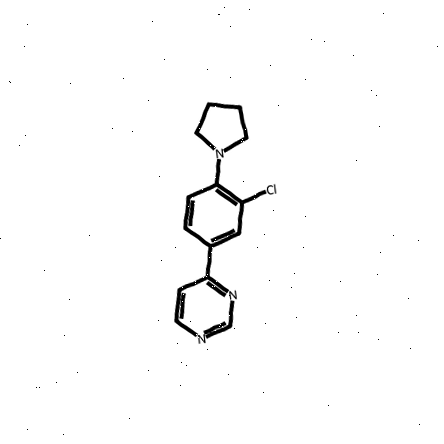 Clc1cc(-c2ccncn2)ccc1N1CCCC1